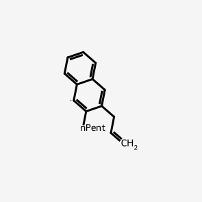 C=CCc1cc2ccccc2[c]c1CCCCC